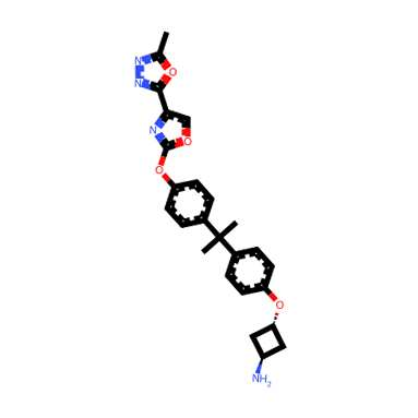 Cc1nnc(-c2coc(Oc3ccc(C(C)(C)c4ccc(O[C@H]5C[C@H](N)C5)cc4)cc3)n2)o1